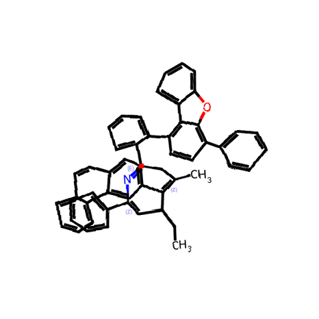 CCC1/C=C(c2ccccc2)\N=C(\c2ccccc2-c2ccc(-c3ccccc3)c3oc4ccccc4c23)C/C(C)=C/1c1ccc2ccc3ccccc3c2c1